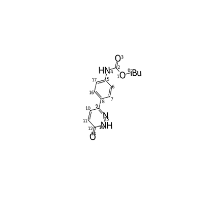 CCC(C)OC(=O)Nc1ccc(-c2ccc(=O)[nH]n2)cc1